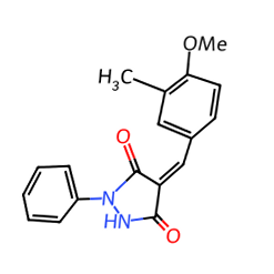 COc1ccc(C=C2C(=O)NN(c3ccccc3)C2=O)cc1C